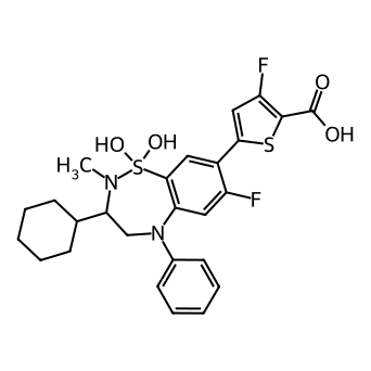 CN1C(C2CCCCC2)CN(c2ccccc2)c2cc(F)c(-c3cc(F)c(C(=O)O)s3)cc2S1(O)O